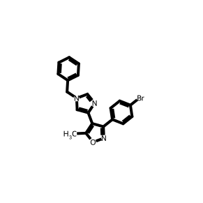 Cc1onc(-c2ccc(Br)cc2)c1-c1cn(Cc2ccccc2)cn1